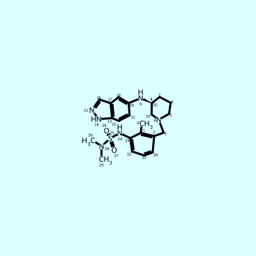 Cc1c(CN2CCC[C@H](Nc3ccc4[nH]ncc4c3)C2)cccc1NS(=O)(=O)N(C)C